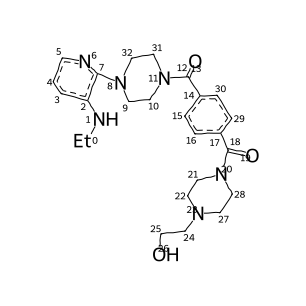 CCNc1cccnc1N1CCN(C(=O)c2ccc(C(=O)N3CCN(CCO)CC3)cc2)CC1